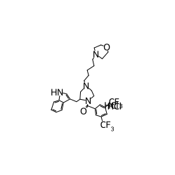 Cl.Cl.O=C(c1cc(C(F)(F)F)cc(C(F)(F)F)c1)N1CCN(CCCCCN2CCOCC2)CC1Cc1c[nH]c2ccccc12